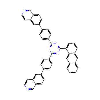 c1ccc2cc3c(-c4nc(-c5ccc(-c6ccc7cnccc7c6)cc5)nc(-c5ccc(-c6ccc7cnccc7c6)cc5)n4)cccc3cc2c1